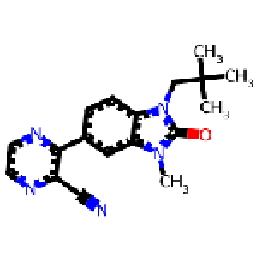 Cn1c(=O)n(CC(C)(C)C)c2ccc(-c3nccnc3C#N)cc21